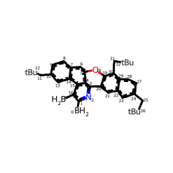 Bc1nc2c3c(cc4ccc(CC(C)(C)C)cc4c3c1B)Oc1c-2cc2cc(CC(C)(C)C)ccc2c1CC(C)(C)C